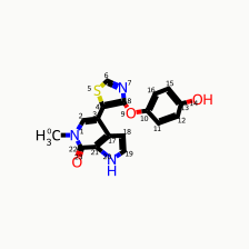 Cn1cc(-c2scnc2Oc2ccc(O)cc2)c2cc[nH]c2c1=O